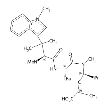 CN[C@H](C(=O)N[C@H](C(=O)N(C)[C@H](C[C@H](C)C(=O)O)C(C)C)C(C)(C)C)C(C)(C)c1cn(C)c2ccccc12